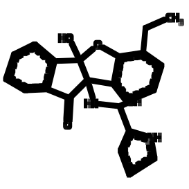 CCc1cccc2c1OC1(O)c3ccccc3C(=O)C21NC(O)c1ccc[nH]1